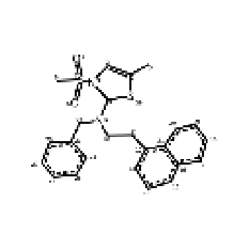 CC1=CN(S(C)(=O)=O)C(N(CCc2cccc3ccccc23)Cc2ccccc2)S1